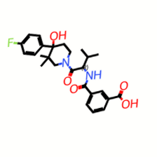 CC(C)[C@@H](NC(=O)c1cccc(C(=O)O)c1)C(=O)N1CCC(O)(c2ccc(F)cc2)C(C)(C)C1